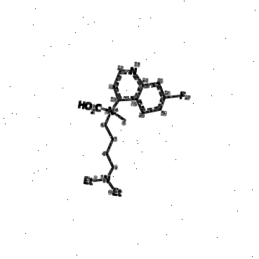 CCN(CC)CCCC[N+](C)(C(=O)O)c1ccnc2cc(F)ccc12